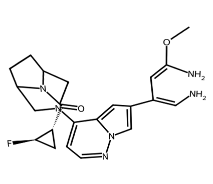 CO/C(N)=C/C(=C\N)c1cc2c(N3CC4CCC(C3)N4C(=O)[C@@H]3C[C@H]3F)ccnn2c1